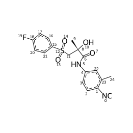 [C-]#[N+]c1ccc(NC(=O)[C@@](C)(O)CS(=O)(=O)c2ccc(F)cc2)cc1C